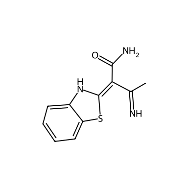 CC(=N)/C(C(N)=O)=C1/Nc2ccccc2S1